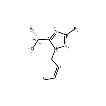 C/C=C\Cn1nc(Br)nc1[C@H](O)CC